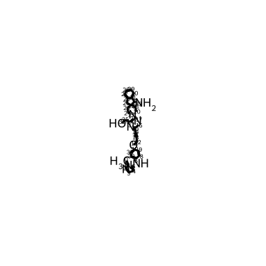 Cn1nccc1Nc1ccc(OCC#Cc2cnc(N3CCC4(CC3)Cc3ccccc3C4N)c(CO)n2)cc1